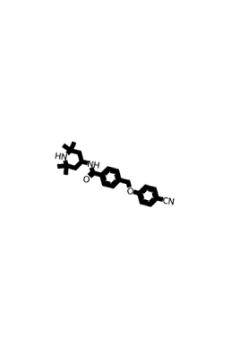 CC1(C)CC(NC(=O)c2ccc(COc3ccc(C#N)cc3)cc2)CC(C)(C)N1